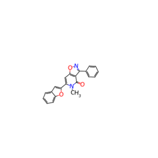 Cn1c(-c2cc3ccccc3o2)cc2onc(-c3ccccc3)c2c1=O